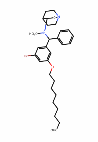 O=CCCCCCCCCOc1cc(Br)cc(C(c2ccccc2)N(C(=O)O)C2CN3CCC2CC3)c1